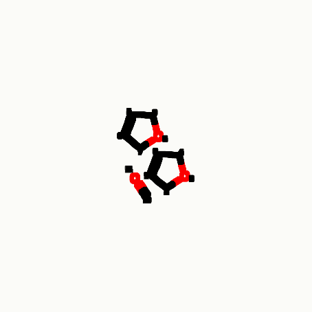 C1=CCOC1.C1=CCOC1.C=O